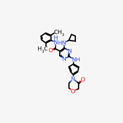 Cc1cccc(C)c1NC(=O)c1cnc(Nc2ccc(N3CCOCC3=O)cc2)nc1NC1CCC1